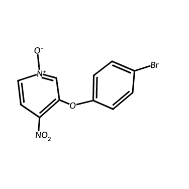 O=[N+]([O-])c1cc[n+]([O-])cc1Oc1ccc(Br)cc1